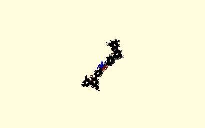 Cc1cc(C)c2sc3c(-c4ccc(-c5nnc(-c6ccc(-c7cc(C)cc8c7sc7c(C)cc(C)cc78)cc6)o5)cc4)cc(C)cc3c2c1